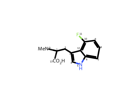 CNC(Cc1c[nH]c2cccc(F)c12)C(=O)O